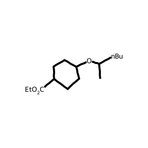 CCCCC(C)OC1CCC(C(=O)OCC)CC1